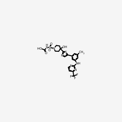 Cc1cc(Nc2nccc(C(F)(F)F)n2)cc(-c2cnc(C3(O)CCN(S(=O)(=O)NC(=O)O)CC3)s2)c1